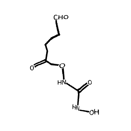 O=CCCC(=O)ONC(=O)NO